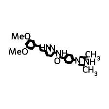 COc1cc(CCC2=CCC(NC(=O)c3ccc(N4CC(C)N[C@H](C)C4)cc3)=NN2)cc(OC)c1